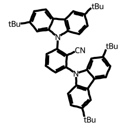 CC(C)(C)c1ccc2c(c1)c1ccc(C(C)(C)C)cc1n2-c1cccc(-n2c3ccc(C(C)(C)C)cc3c3ccc(C(C)(C)C)cc32)c1C#N